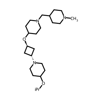 CC(C)OC1CCN([C@H]2C[C@H](OC3CCN(CC4CCN(C)CC4)CC3)C2)CC1